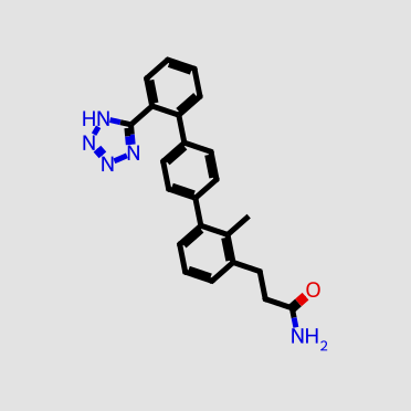 Cc1c(CCC(N)=O)cccc1-c1ccc(-c2ccccc2-c2nnn[nH]2)cc1